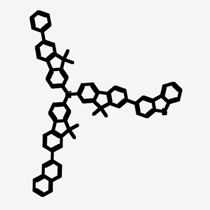 CC1(C)c2cc(-c3ccccc3)ccc2-c2ccc(N(c3ccc4c(c3)C(C)(C)c3cc(-c5ccc6ccccc6c5)ccc3-4)c3ccc4c(c3)C(C)(C)c3cc(-c5ccc6sc7ccccc7c6c5)ccc3-4)cc21